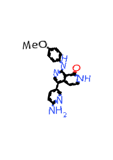 COc1ccc(Nc2ncc(-c3ccc(N)nc3)c3cc[nH]c(=O)c23)cc1